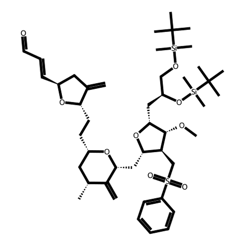 C=C1C[C@H](/C=C/C=O)O[C@H]1CC[C@H]1C[C@@H](C)C(=C)[C@@H](C[C@@H]2O[C@H](C[C@@H](CO[Si](C)(C)C(C)(C)C)O[Si](C)(C)C(C)(C)C)[C@H](OC)[C@H]2CS(=O)(=O)c2ccccc2)O1